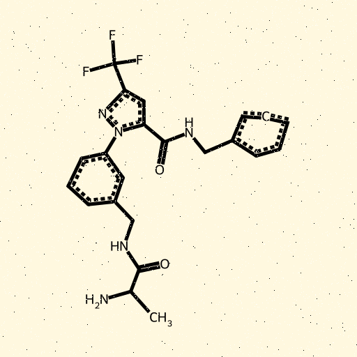 CC(N)C(=O)NCc1cccc(-n2nc(C(F)(F)F)cc2C(=O)NCc2ccccc2)c1